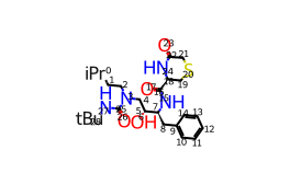 CC(C)CCN(C[C@@H](O)[C@H](Cc1ccccc1)NC(=O)[C@@H]1CSCC(=O)N1)C(=O)NC(C)(C)C